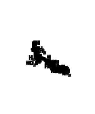 CC[N+]1=C(/C=C/C=C2/N(CCCCCC(=O)NCNP(=O)(O)OP(=O)(O)OP(=O)(O)OCC3OC(n4cnc5c(=O)[nH]c(N)nc54)C(O)C3O)c3ccc(S(=O)(=O)O)cc3C2(C)C)C(C)(C)c2cc(SOOO)ccc21